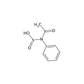 CC(=O)N(c1ccccc1)S(=O)O